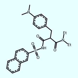 CCN(CC)C(=O)C(Cc1ccc(N(C)C)cc1)C(=O)NS(=O)(=O)c1ccc2ccccc2c1